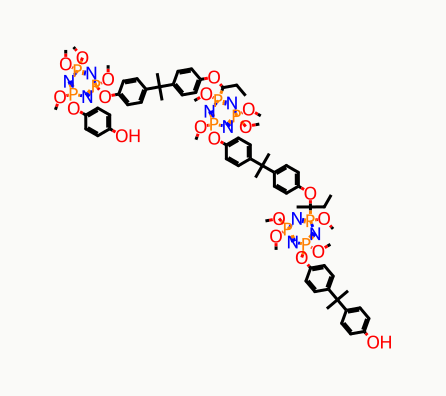 CCC(Oc1ccc(C(C)(C)c2ccc(OP3(OC)=NP(OC)(Oc4ccc(O)cc4)=NP(OC)(OC)=N3)cc2)cc1)P1(OC)=NP(OC)(OC)=NP(OC)(Oc2ccc(C(C)(C)c3ccc(OC(C)(CC)P4(OC)=NP(OC)(OC)=NP(OC)(Oc5ccc(C(C)(C)c6ccc(O)cc6)cc5)=N4)cc3)cc2)=N1